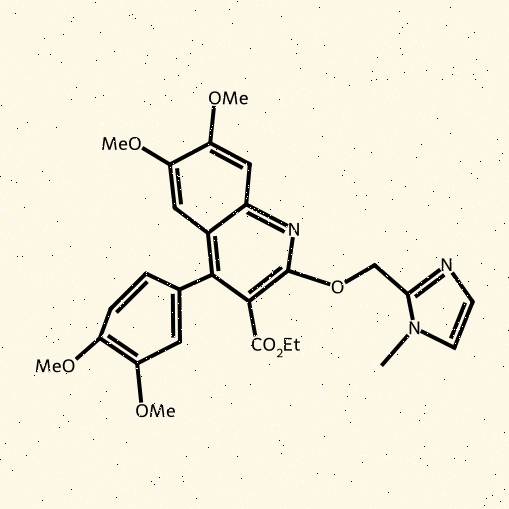 CCOC(=O)c1c(OCc2nccn2C)nc2cc(OC)c(OC)cc2c1-c1ccc(OC)c(OC)c1